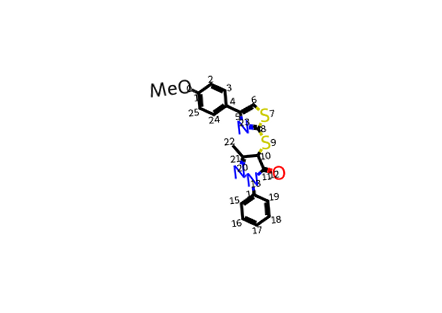 COc1ccc(-c2csc(SC3C(=O)N(c4ccccc4)N=C3C)n2)cc1